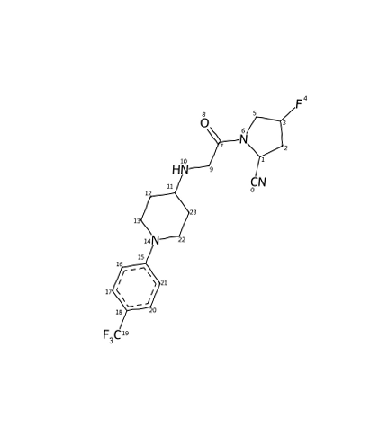 N#CC1CC(F)CN1C(=O)CNC1CCN(c2ccc(C(F)(F)F)cc2)CC1